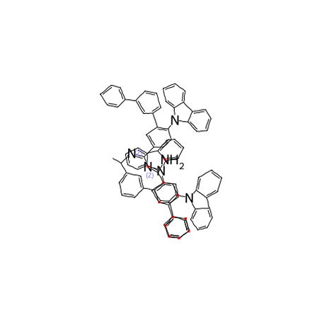 CC(/N=C(\N=C(/N)c1ccc(-c2ccccc2)c(-n2c3ccccc3c3ccccc32)c1)c1ccc(-n2c3ccccc3c3ccccc32)c(-c2cccc(-c3ccccc3)c2)c1)c1cccc(-c2cc(-c3ccccc3)ccc2-n2c3ccccc3c3ccccc32)c1